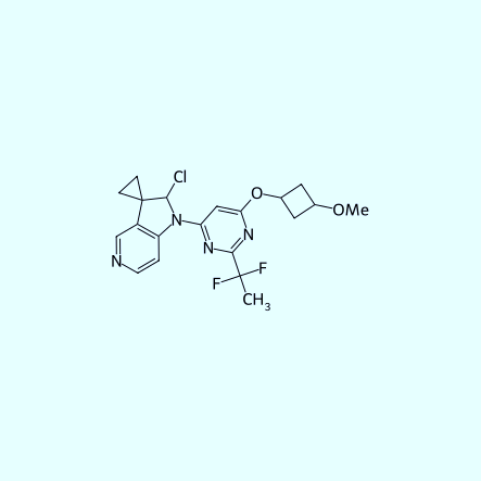 COC1CC(Oc2cc(N3c4ccncc4C4(CC4)C3Cl)nc(C(C)(F)F)n2)C1